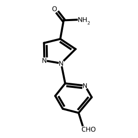 NC(=O)c1cnn(-c2ccc(C=O)cn2)c1